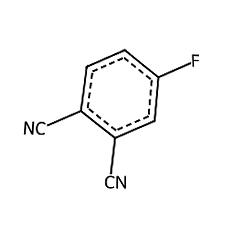 N#Cc1ccc(F)cc1C#N